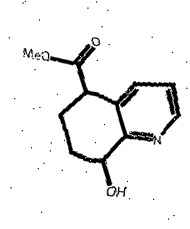 COC(=O)C1CCC(O)c2ncccc21